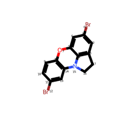 Brc1cc2c3c(c1)Oc1ccc(Br)cc1N3CC2